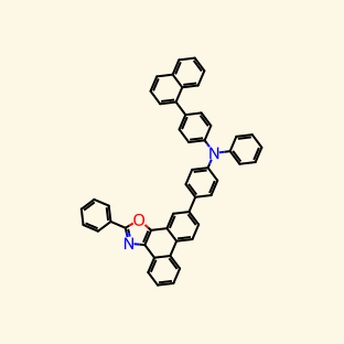 c1ccc(-c2nc3c4ccccc4c4ccc(-c5ccc(N(c6ccccc6)c6ccc(-c7cccc8ccccc78)cc6)cc5)cc4c3o2)cc1